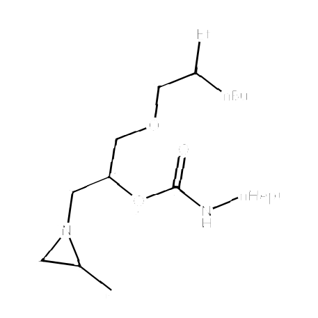 CCCCCCCNC(=O)OC(COCC(CC)CCCC)CN1CC1C